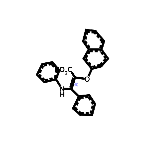 O=C(O)/C(Oc1ccc2ccccc2c1)=C(\Nc1ccccc1)c1ccccc1